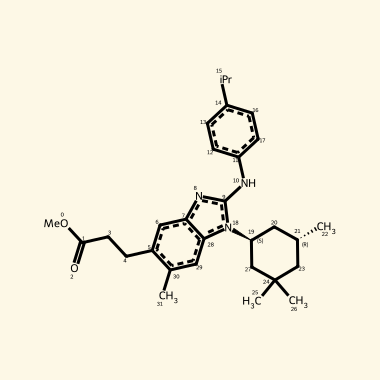 COC(=O)CCc1cc2nc(Nc3ccc(C(C)C)cc3)n([C@H]3C[C@H](C)CC(C)(C)C3)c2cc1C